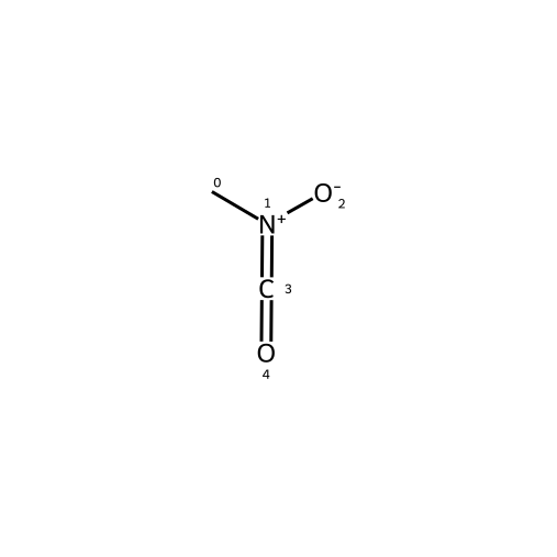 C[N+]([O-])=C=O